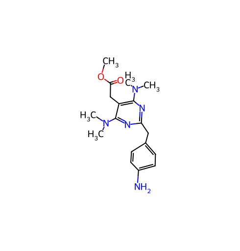 COC(=O)Cc1c(N(C)C)nc(Cc2ccc(N)cc2)nc1N(C)C